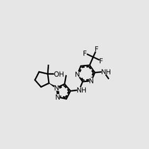 CNc1nc(Nc2cnn([C@H]3CCCC3(C)O)c2C)ncc1C(F)(F)F